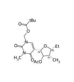 CC[C@H]1O[C@@H](c2cn(COC(=O)C(C)(C)C)c(=O)n(C)c2=O)C(OC(C)=O)[C@H]1C